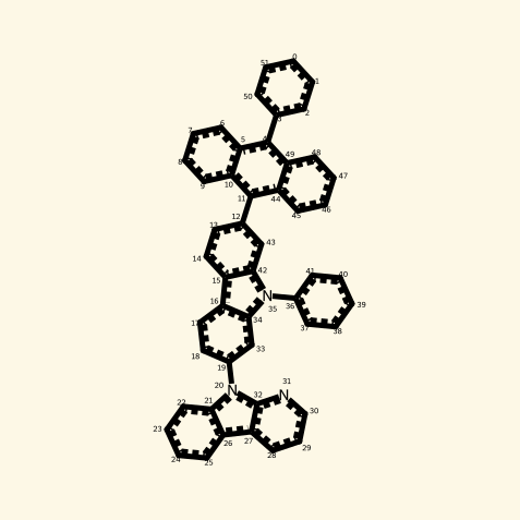 c1ccc(-c2c3ccccc3c(-c3ccc4c5ccc(-n6c7ccccc7c7cccnc76)cc5n(-c5ccccc5)c4c3)c3ccccc23)cc1